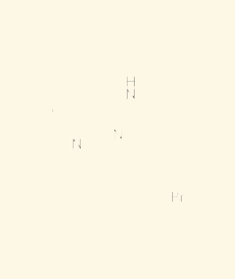 CC(Nc1ncnc2sccc12)c1ccc(Br)cc1